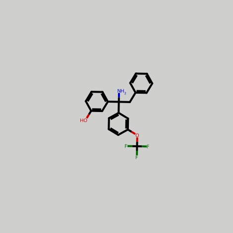 NC(Cc1ccccc1)(c1cccc(O)c1)c1cccc(OC(F)(F)F)c1